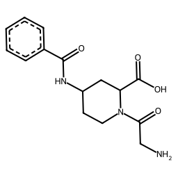 NCC(=O)N1CCC(NC(=O)c2ccccc2)CC1C(=O)O